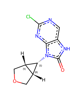 O=c1[nH]c2cnc(Cl)nc2n1[C@@H]1[C@@H]2COC[C@@H]21